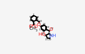 COC(=O)c1ccccc1COc1ccc(C(=O)[C@H]2NCCC2O)cc1